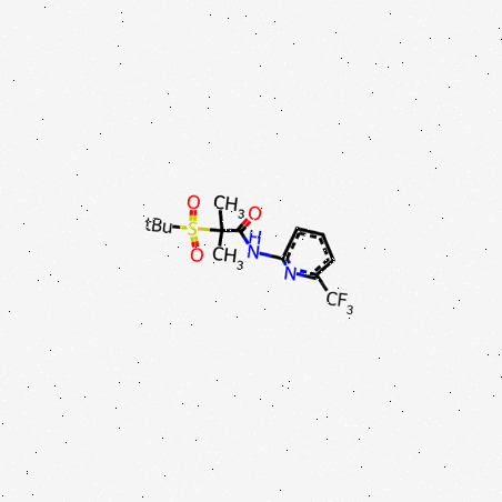 CC(C)(C)S(=O)(=O)C(C)(C)C(=O)Nc1cccc(C(F)(F)F)n1